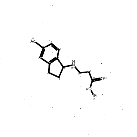 CC(=O)c1ccc2c(c1)CCC2NCCC(=O)OC(C)C